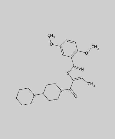 COc1ccc(OC)c(-c2nc(C)c(C(=O)N3CCC(N4CCCCC4)CC3)s2)c1